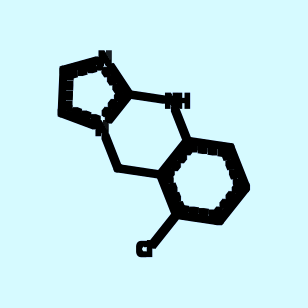 Clc1cccc2c1Cn1ccnc1N2